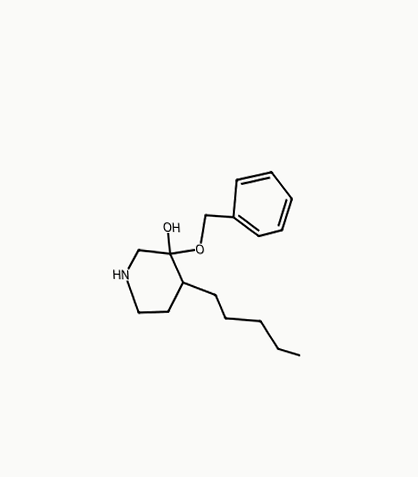 CCCCCC1CCNCC1(O)OCc1ccccc1